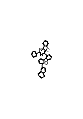 c1ccc(-c2nc(-c3cccc4oc5c(-c6ccc7ccccc7c6)cccc5c34)c3oc4ccccc4c3n2)cc1